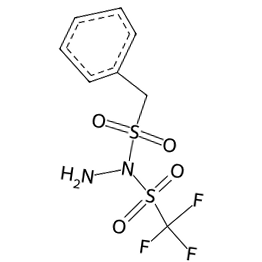 NN(S(=O)(=O)Cc1ccccc1)S(=O)(=O)C(F)(F)F